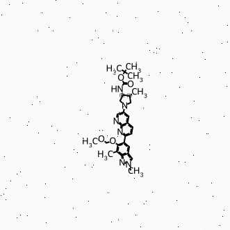 COCOc1c(-c2ccc3cc(N4C[C@H](NC(=O)OC(C)(C)C)[C@@H](C)C4)cnc3n2)cc2cn(C)nc2c1C